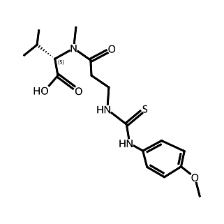 COc1ccc(NC(=S)NCCC(=O)N(C)[C@H](C(=O)O)C(C)C)cc1